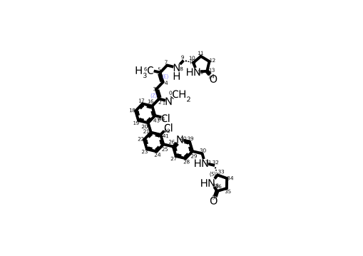 C=N/C(=C\C=C(/C)CNC[C@@H]1CCC(=O)N1)c1cccc(-c2cccc(-c3ccc(CNC[C@@H]4CCC(=O)N4)cn3)c2Cl)c1Cl